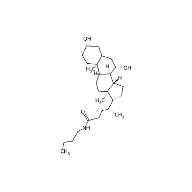 CCCCNC(=O)CC[C@@H](C)[C@H]1CC[C@H]2[C@@H]3[C@@H](O)CC4C[C@@H](O)CC[C@]4(C)[C@H]3CC[C@]12C